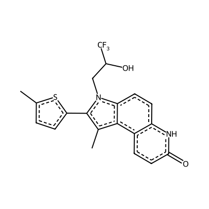 Cc1ccc(-c2c(C)c3c4ccc(=O)[nH]c4ccc3n2CC(O)C(F)(F)F)s1